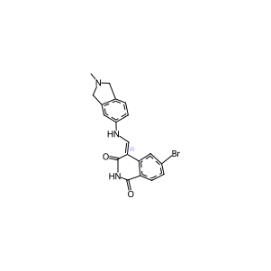 CN1Cc2ccc(N/C=C3\C(=O)NC(=O)c4ccc(Br)cc43)cc2C1